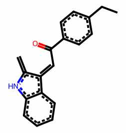 C=c1[nH]c2ccccc2/c1=C/C(=O)c1ccc(CC)cc1